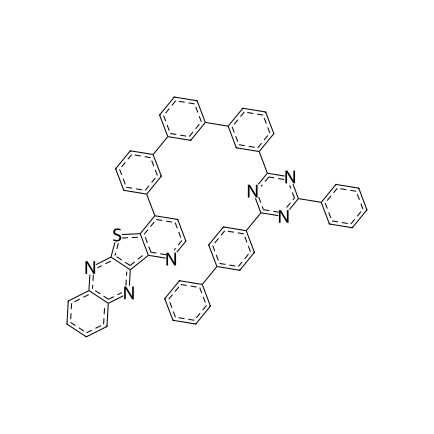 c1ccc(-c2ccc(-c3nc(-c4ccccc4)nc(-c4cccc(-c5cccc(-c6cccc(-c7ccnc8c7sc7nc9ccccc9nc78)c6)c5)c4)n3)cc2)cc1